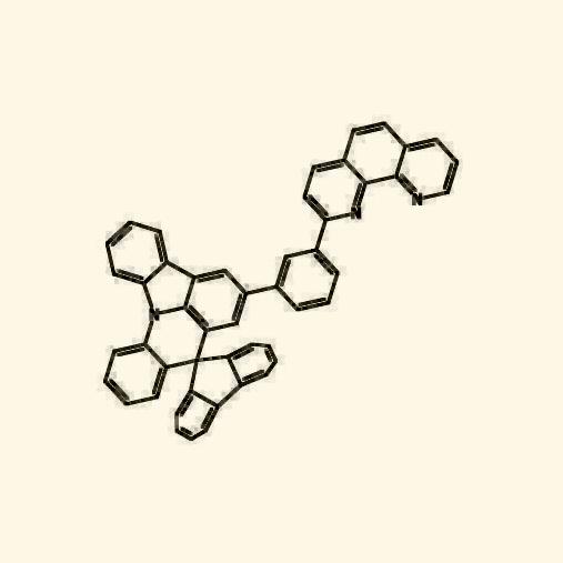 c1cc(-c2cc3c4c(c2)c2ccccc2n4-c2ccccc2C32c3ccccc3-c3ccccc32)cc(-c2ccc3ccc4cccnc4c3n2)c1